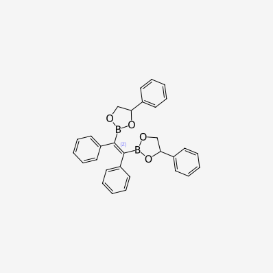 c1ccc(/C(B2OCC(c3ccccc3)O2)=C(/B2OCC(c3ccccc3)O2)c2ccccc2)cc1